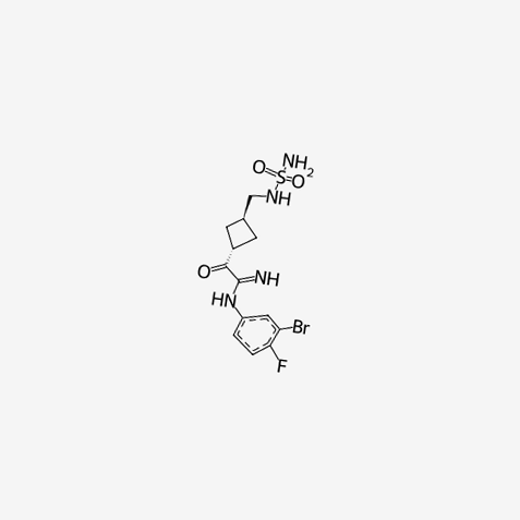 N=C(Nc1ccc(F)c(Br)c1)C(=O)[C@H]1C[C@H](CNS(N)(=O)=O)C1